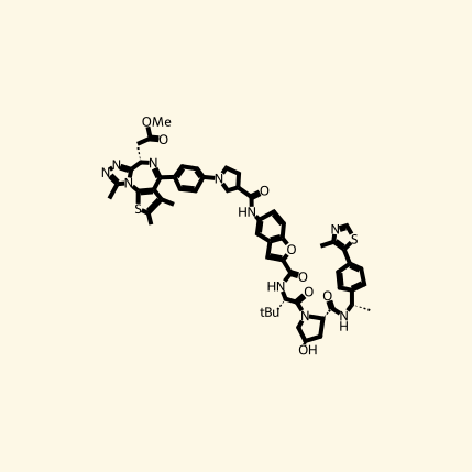 COC(=O)C[C@@H]1N=C(c2ccc(N3CCC(C(=O)Nc4ccc5oc(C(=O)N[C@H](C(=O)N6C[C@H](O)C[C@H]6C(=O)N[C@@H](C)c6ccc(-c7scnc7C)cc6)C(C)(C)C)cc5c4)C3)cc2)c2c(sc(C)c2C)-n2c(C)nnc21